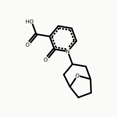 O=C(O)c1cccn(C2CC3CCC(C2)O3)c1=O